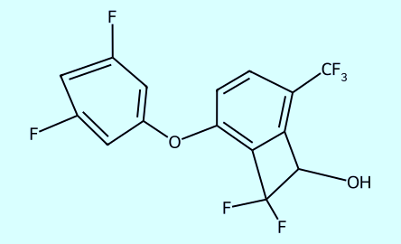 OC1c2c(C(F)(F)F)ccc(Oc3cc(F)cc(F)c3)c2C1(F)F